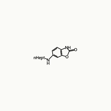 CCCCCCCNc1ccc2[nH]c(=O)oc2c1